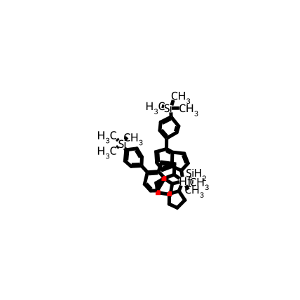 C[Si](C)(C)c1ccc(-c2cccc3c2C=C[CH]3[Hf]([CH3])([CH3])(=[SiH2])([CH]2CCCC2)([CH]2CCCC2)[CH]2C=Cc3c(-c4ccc([Si](C)(C)C)cc4)cccc32)cc1